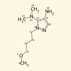 COCCCCn1ncc(N)c1N(C)C